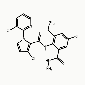 NCc1cc(Cl)cc(C(=O)NN)c1NC(=O)c1c(Cl)ccn1-c1ncccc1Cl